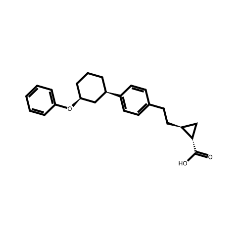 O=C(O)[C@H]1C[C@@H]1CCc1ccc([C@@H]2CCC[C@H](Oc3ccccc3)C2)cc1